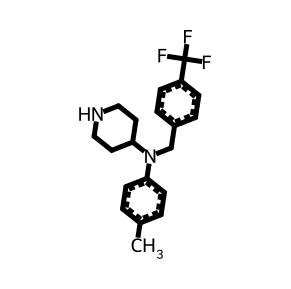 Cc1ccc(N(Cc2ccc(C(F)(F)F)cc2)C2CCNCC2)cc1